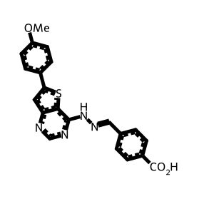 COc1ccc(-c2cc3ncnc(NN=Cc4ccc(C(=O)O)cc4)c3s2)cc1